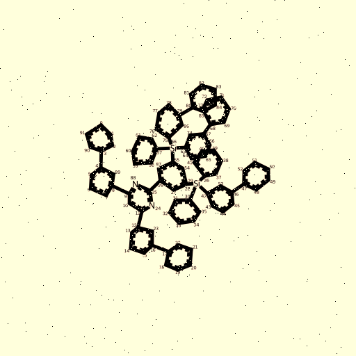 c1ccc(-c2cccc(-c3cc(-c4cccc(-c5ccccc5)c4)nc(-c4cc([Si](c5ccccc5)(c5ccccc5)c5cccc(-c6ccccc6)c5)cc([Si](c5ccccc5)(c5cccc(-c6ccccc6)c5)c5cccc(-c6ccccc6)c5)c4)n3)c2)cc1